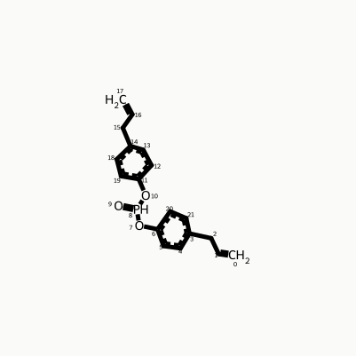 C=CCc1ccc(O[PH](=O)Oc2ccc(CC=C)cc2)cc1